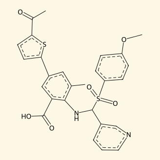 COc1ccc(S(=O)(=O)C(Nc2c(C)cc(-c3ccc(C(C)=O)s3)cc2C(=O)O)c2cccnc2)cc1